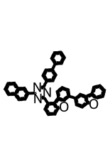 c1ccc(-c2ccc(-c3nc(-c4ccc5ccccc5c4)nc(-c4cccc5oc6c(-c7ccc8oc9ccccc9c8c7)cccc6c45)n3)cc2)cc1